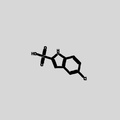 O=S(=O)(O)c1cc2cc(Cl)ccc2[nH]1